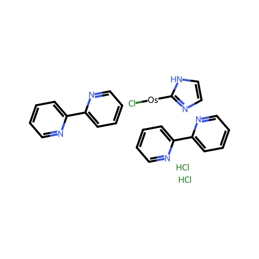 Cl.Cl.[Cl][Os][c]1ncc[nH]1.c1ccc(-c2ccccn2)nc1.c1ccc(-c2ccccn2)nc1